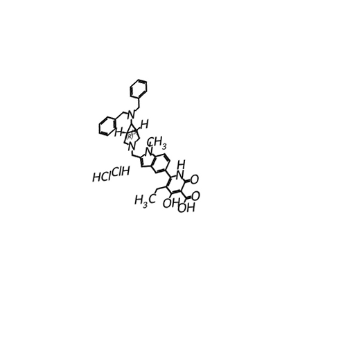 CCc1c(-c2ccc3c(c2)cc(CN2C[C@@H]4C(N(Cc5ccccc5)Cc5ccccc5)[C@@H]4C2)n3C)[nH]c(=O)c(C(=O)O)c1O.Cl.Cl